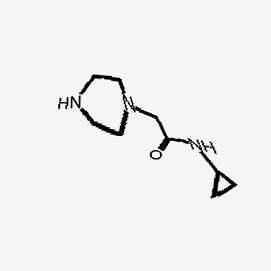 O=C(CN1CCNCC1)NC1CC1